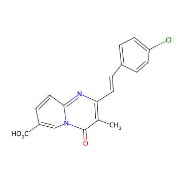 Cc1c(C=Cc2ccc(Cl)cc2)nc2ccc(C(=O)O)cn2c1=O